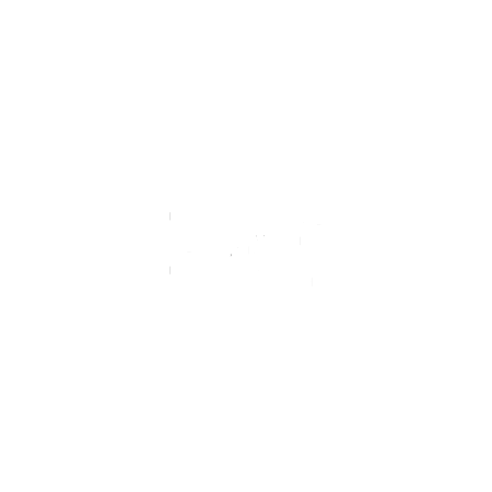 FC(F)(F)CCOB(OCCC(F)(F)F)B(OCCC(F)(F)F)OCCC(F)(F)F